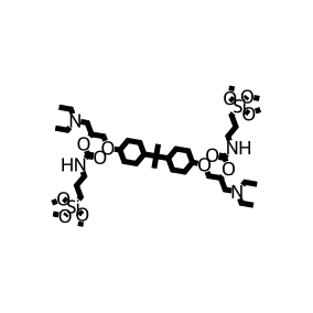 CCN(CC)CC(COC1CCC(C(C)(C)C2CCC(OCC(CN(CC)CC)OC(=O)NCCC[Si](OC)(OC)OC)CC2)CC1)OC(=O)NCCC[Si](OC)(OC)OC